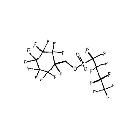 O=S(=O)(OCC1(F)C(F)(F)C(F)(F)C(F)(F)C(F)(F)C1(F)F)C(F)(F)C(F)(F)C(F)(F)C(F)(F)F